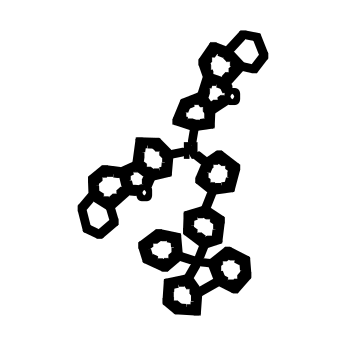 c1ccc(C2(c3ccc(-c4cccc(N(c5ccc6c(c5)oc5c7c(ccc56)CCCC7)c5ccc6c(c5)oc5c7c(ccc56)CCCC7)c4)cc3)c3ccccc3-c3ccccc32)cc1